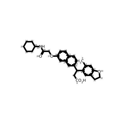 Cc1cc2c(cc1C(CC(=O)O)c1ccc3ccc(OCC(=O)NC4CCCCC4)cc3c1)CCO2